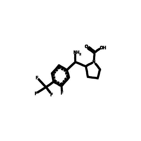 NC(c1ccc(C(F)(F)F)c(F)c1)C1CCCN1C(=O)O